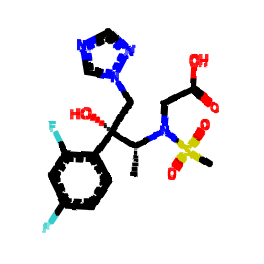 C[C@@H](N(CC(=O)O)S(C)(=O)=O)[C@](O)(Cn1cncn1)c1ccc(F)cc1F